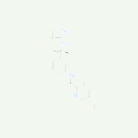 COc1cnc(C(=O)NC2C=C([C@]3(C)CS(=O)(=O)C(C)(C)C(=N)N3)C(F)=CC2)c(F)c1